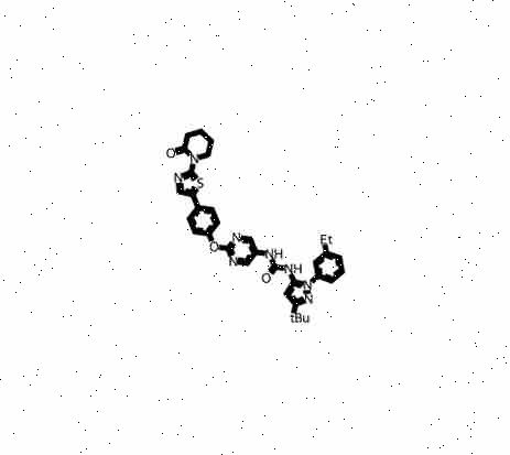 CCc1cccc(-n2nc(C(C)(C)C)cc2NC(=O)Nc2cnc(Oc3ccc(-c4cnc(N5CCCCC5=O)s4)cc3)nc2)c1